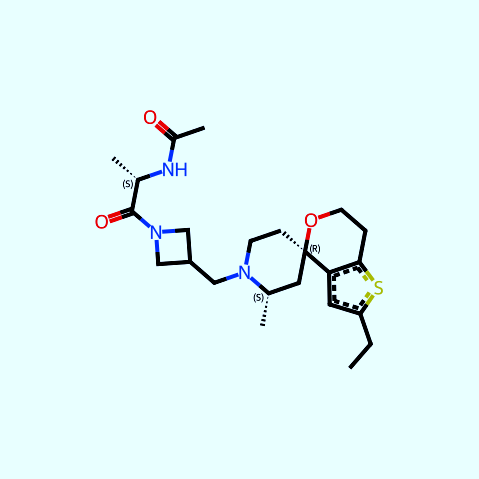 CCc1cc2c(s1)CCO[C@@]21CCN(CC2CN(C(=O)[C@H](C)NC(C)=O)C2)[C@@H](C)C1